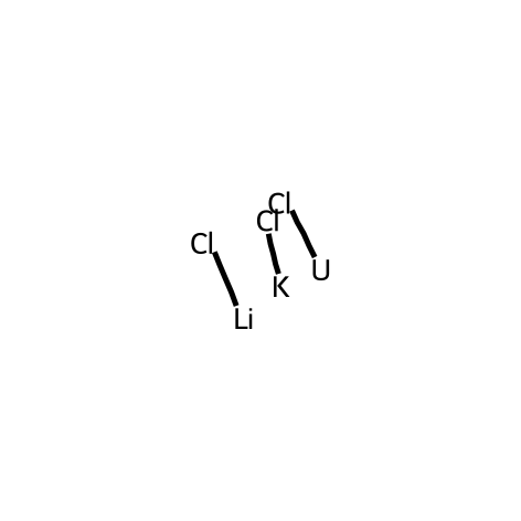 [Cl][K].[Cl][U].[Li][Cl]